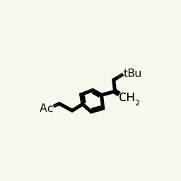 C=C(CC(C)(C)C)c1ccc(CCC(C)=O)cc1